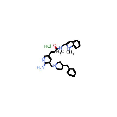 CN(Cc1cc2ccccc2n1C)C(=O)C=Cc1cnc(N)c(CN2CCC(Cc3ccccc3)CC2)c1.Cl